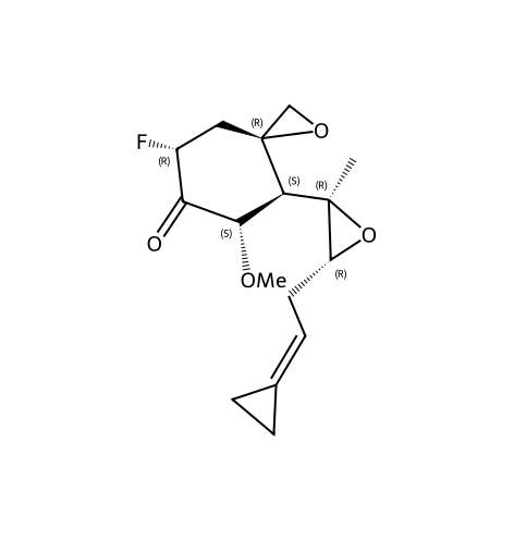 CO[C@@H]1C(=O)[C@H](F)C[C@]2(CO2)[C@H]1[C@@]1(C)O[C@@H]1CC=C1CC1